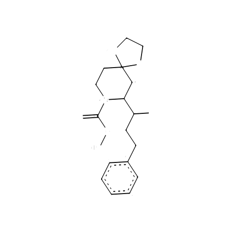 CC(C)(C)OC(=O)N1CCC2(CC1C(O)CCc1ccccc1)OCCO2